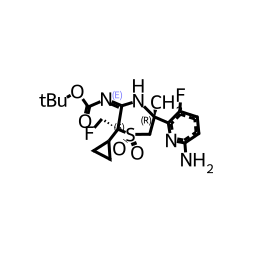 CC(C)(C)OC(=O)/N=C1/N[C@](C)(c2nc(N)ccc2F)CS(=O)(=O)[C@@]1(CF)C1CC1